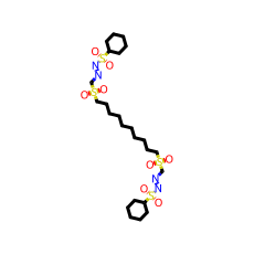 O=S(=O)(CCCCCCCCCCS(=O)(=O)C/N=N/S(=O)(=O)C1CCCCC1)C/N=N/S(=O)(=O)C1CCCCC1